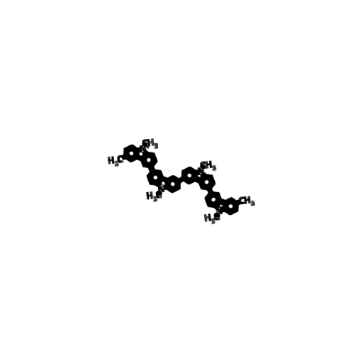 Cc1ccc2c(c1)-c1c/c(=c3\ccc4c(c3)-c3cc(-c5ccc6c(c5)c5cc(-c7ccc8c(c7)c7cc(C)ccc7n8C)ccc5n6C)ccc3[N+]=4C)ccc1=[N+]2C